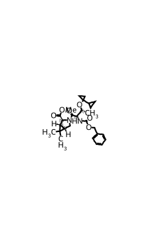 COC(=O)[C@@H]1[C@@H]2[C@H](CN1C(=O)[C@@H](NC(=O)OCc1ccccc1)[C@@H](C)OC1(C3CC3)CC1)C2(C)C